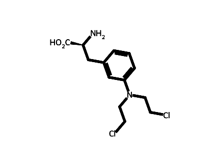 N[C@@H](Cc1cccc(N(CCCl)CCCl)c1)C(=O)O